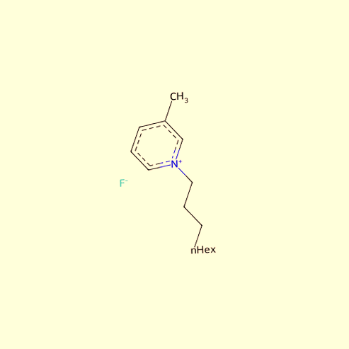 CCCCCCCCC[n+]1cccc(C)c1.[F-]